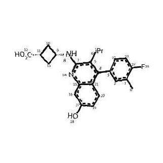 Cc1cc(-c2c(C(C)C)c(N[C@H]3C[C@@H](C(=O)O)C3)nc3cc(O)ccc23)ccc1F